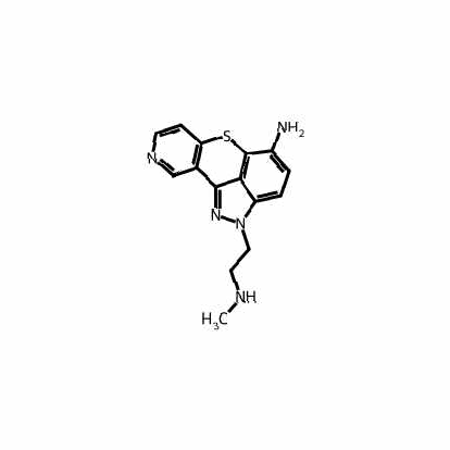 CNCCn1nc2c3c(c(N)ccc31)Sc1ccncc1-2